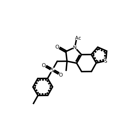 CC(=O)N1C(=O)C(C)(CS(=O)(=O)c2ccc(C)cc2)C2=C1c1ccsc1CC2